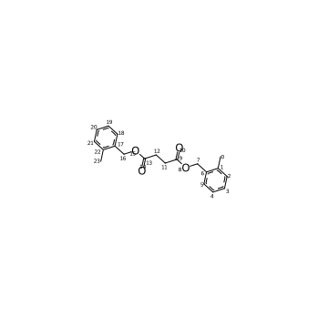 Cc1ccccc1COC(=O)CCC(=O)OCc1ccccc1C